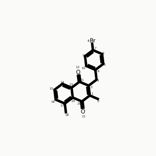 CC1=C(Cc2ccc(Br)cc2)C(=O)c2cccc(C)c2C1=O